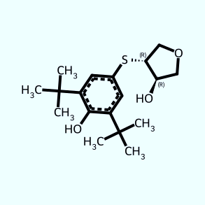 CC(C)(C)c1cc(S[C@@H]2COC[C@H]2O)cc(C(C)(C)C)c1O